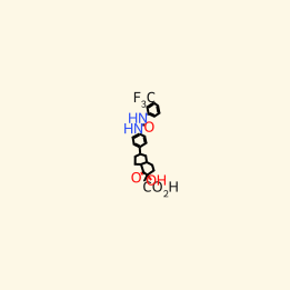 O=C(O)CC1(O)CCC2CC(c3ccc(NC(=O)Nc4cccc(C(F)(F)F)c4)cc3)CCC2C1=O